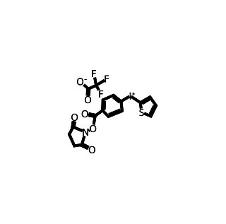 O=C(ON1C(=O)CCC1=O)c1ccc([I+]c2cccs2)cc1.O=C([O-])C(F)(F)F